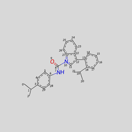 CC(C)c1ccc(NC(=O)n2cc(-c3ccccc3C(C)C)c3ccccc32)cc1